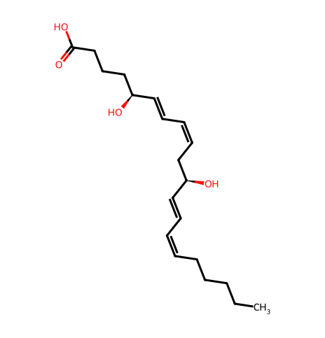 CCCCC/C=C\C=C\[C@H](O)C/C=C\C=C\[C@@H](O)CCCC(=O)O